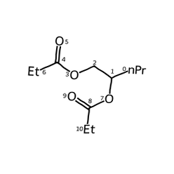 CCCC(COC(=O)CC)OC(=O)CC